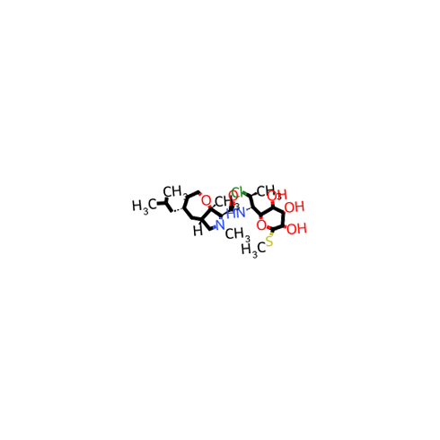 CSC1OC([C@H](NC(=O)[C@H]2N(C)C[C@@H]3C[C@H](CC(C)C)CCO[C@]32C)[C@H](C)Cl)C(O)C(O)C1O